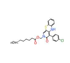 CCCCCCCCCCCCCCCC(=O)OCn1cc2c(c(-c3ccc(Cl)cc3)c1=O)Nc1ccccc1S2